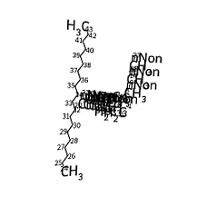 C=CC(=O)O.C=CC(=O)O.CCCCCCCCCC.CCCCCCCCCC.CCCCCCCCCC.CCCCCCCCCC.CCCCCCCCCC.CCCCCCCCCC.CCCCCCCCCC.CCCCCCCCCC.CCCCCCCCCC.CCCCCCCCCCCCCCCCCCCC